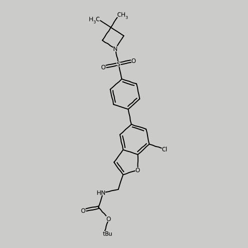 CC1(C)CN(S(=O)(=O)c2ccc(-c3cc(Cl)c4oc(CNC(=O)OC(C)(C)C)cc4c3)cc2)C1